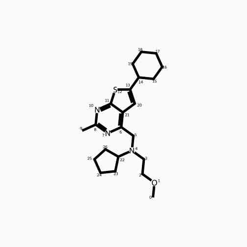 COCCN(Cc1nc(C)nc2sc(C3CCCCC3)cc12)C1CCCC1